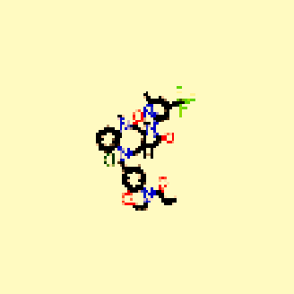 C=CC(=O)N1CCOc2cc(CN3C[C@H]4CC(=O)N(c5cc(C(F)(F)F)cc(C)n5)[C@@H]4C(=O)N(C)c4cccc(Cl)c43)ccc21